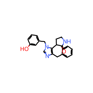 O=C1NCCC1c1c(Cc2ccccc2)ncn1Cc1cccc(O)c1